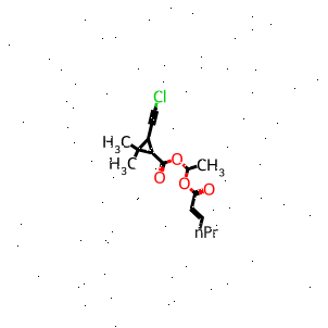 CCCC=CC(=O)OC(C)OC(=O)C1C(C#CCl)C1(C)C